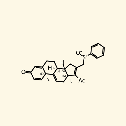 CC(=O)C1=C(C[S+]([O-])c2ccccc2)C[C@H]2[C@@H]3CCC4=CC(=O)C=C[C@]4(C)C3=CC[C@]12C